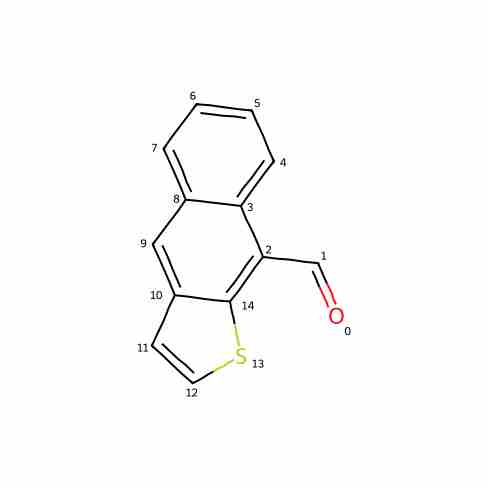 O=Cc1c2ccccc2cc2ccsc12